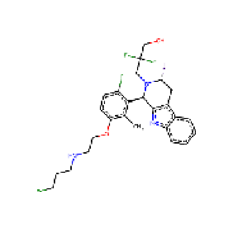 Cc1c(OCCNCCCF)ccc(F)c1[C@@H]1c2[nH]c3ccccc3c2C[C@@H](I)N1CC(F)(F)CO